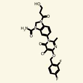 Cc1nc(OCc2ccc(F)cc2F)c(Cl)c(=O)n1-c1ccc2c(c1)N(C(N)=O)CN2C(=O)CCO